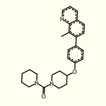 Cc1c(-c2ccc(OC3CCN(C(=O)N4CCCCC4)CC3)cc2)ccc2cccnc12